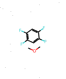 COC.Fc1cc(F)c(F)cc1F